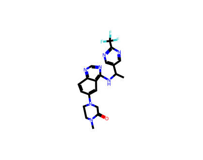 CC(Nc1ncnc2ccc(N3CCN(C)C(=O)C3)cc12)c1cnc(C(F)(F)F)nc1